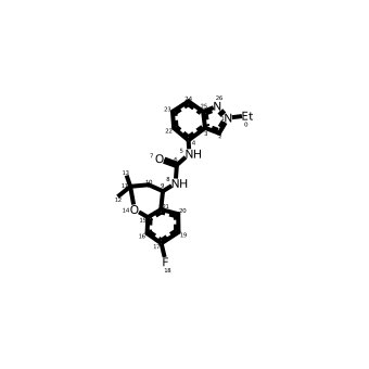 CCn1cc2c(NC(=O)NC3CC(C)(C)Oc4cc(F)ccc43)cccc2n1